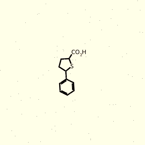 O=C(O)C1CCC(c2ccccc2)S1